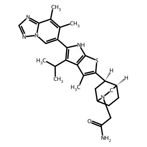 Cc1c(-c2[nH]c3sc([C@@H]4CC5CC[C@H]4CN5CC(N)=O)c(C)c3c2C(C)C)cn2ncnc2c1C